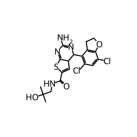 CC(C)(O)CNC(=O)C1=CC2C(=NC(N)=NC2c2c(Cl)cc(Cl)c3c2CCO3)S1